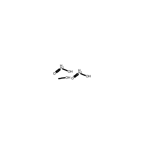 CO.O=[PH2]O.O=[PH2]O